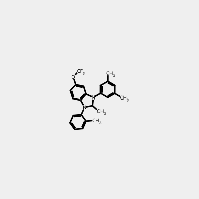 Cc1cc(C)cc(N2c3cc(OC(F)(F)F)ccc3N(c3ccccc3C)C2C)c1